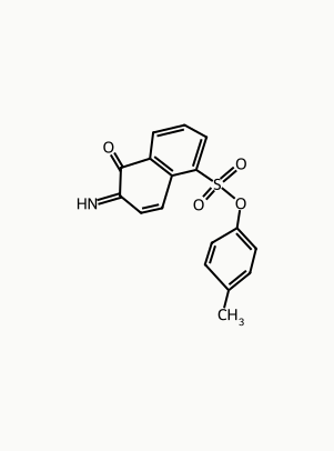 Cc1ccc(OS(=O)(=O)c2cccc3c2C=CC(=N)C3=O)cc1